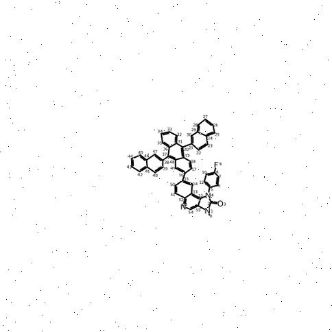 Cn1c(=O)n(-c2ccc(F)cc2)c2c3cc(-c4ccc5c(-c6ccc7ccccc7c6)c6ccccc6c(-c6ccc7ccccc7c6)c5c4)ccc3ncc21